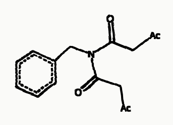 CC(=O)CC(=O)N(Cc1ccccc1)C(=O)CC(C)=O